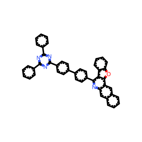 c1ccc(-c2nc(-c3ccccc3)nc(-c3ccc(-c4ccc(-c5nc6cc7ccccc7cc6c6oc7ccccc7c56)cc4)cc3)n2)cc1